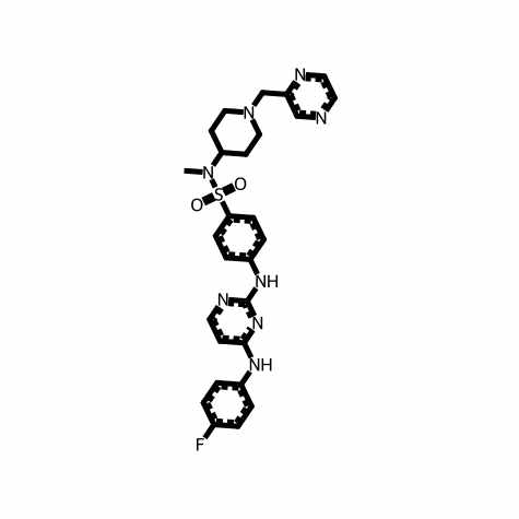 CN(C1CCN(Cc2cnccn2)CC1)S(=O)(=O)c1ccc(Nc2nccc(Nc3ccc(F)cc3)n2)cc1